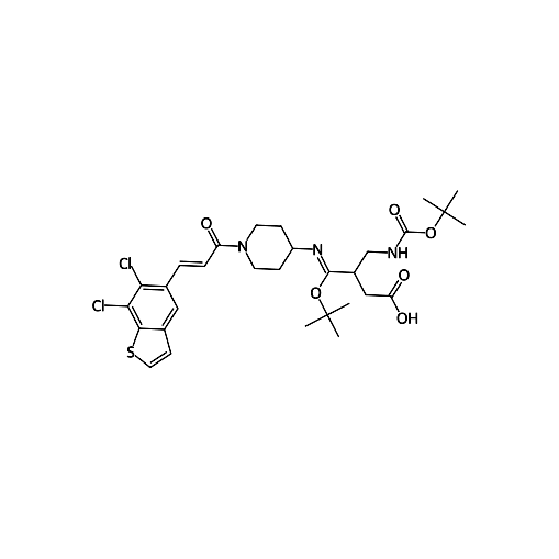 CC(C)(C)OC(=O)NCC(CC(=O)O)C(=NC1CCN(C(=O)C=Cc2cc3ccsc3c(Cl)c2Cl)CC1)OC(C)(C)C